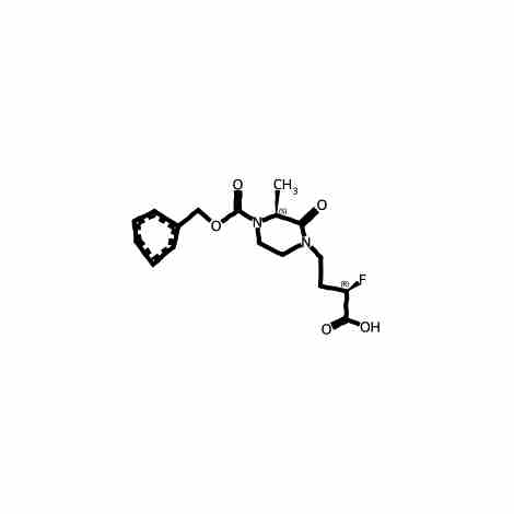 C[C@H]1C(=O)N(CC[C@@H](F)C(=O)O)CCN1C(=O)OCc1ccccc1